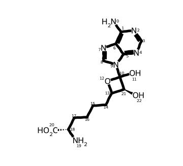 Nc1ncnc2c1ncn2C1(O)OC(CCCC[C@H](N)C(=O)O)[C@@H]1O